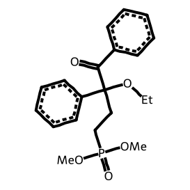 CCOC(CCP(=O)(OC)OC)(C(=O)c1ccccc1)c1ccccc1